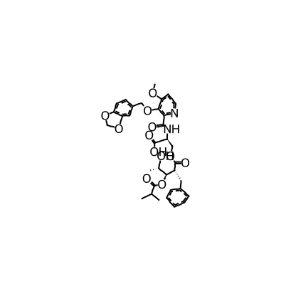 COc1ccnc(C(=O)N[C@@H](COC(=O)[C@H](Cc2ccccc2)[C@@H](OC(=O)C(C)C)[C@H](C)O)C(=O)O)c1OCc1ccc2c(c1)OCO2